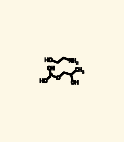 CC(O)COP(O)O.NCCO